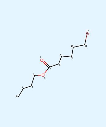 CCCCOC(=O)CCCCCBr